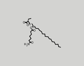 CCCCCCCCCCCCCCCCC[C@@H](C[C@@H]1OC(=O)[C@H]1CC)OC(=O)CCCCCC(N)=O